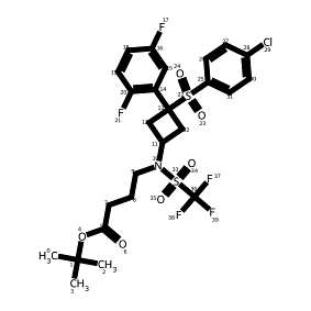 CC(C)(C)OC(=O)CCCN(C1CC(c2cc(F)ccc2F)(S(=O)(=O)c2ccc(Cl)cc2)C1)S(=O)(=O)C(F)(F)F